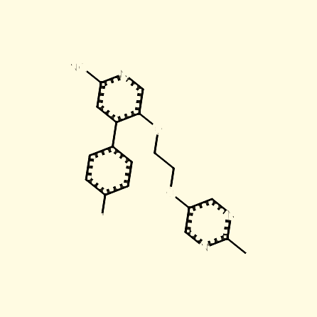 Cc1ncc(OCCOc2cnc(C#N)cc2-c2ccc(F)cc2)cn1